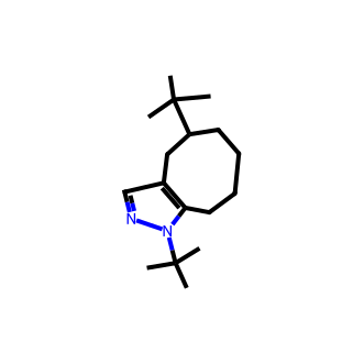 CC(C)(C)C1CCCCc2c(cnn2C(C)(C)C)C1